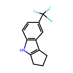 FC(F)(F)c1ccc2[nH]c3c(c2c1)CCC3